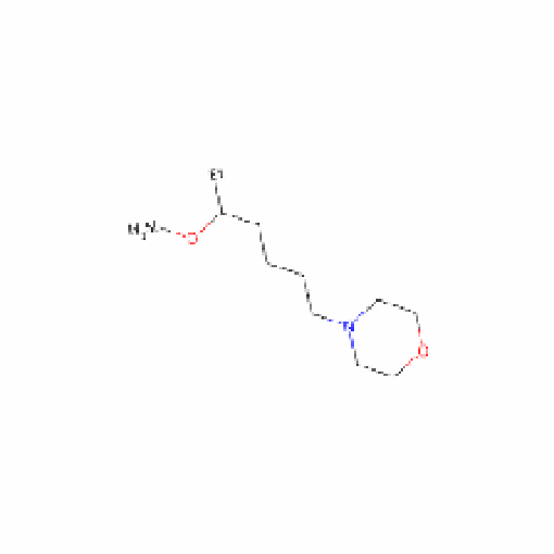 CCC(CCCCN1CCOCC1)O[SiH3]